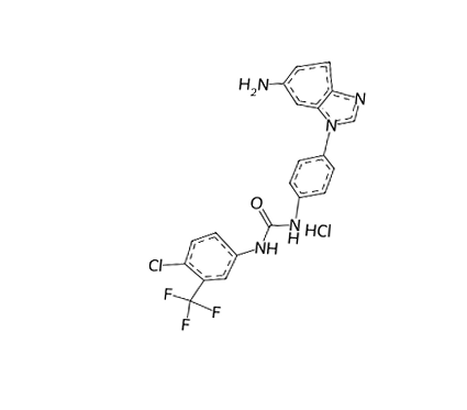 Cl.Nc1ccc2ncn(-c3ccc(NC(=O)Nc4ccc(Cl)c(C(F)(F)F)c4)cc3)c2c1